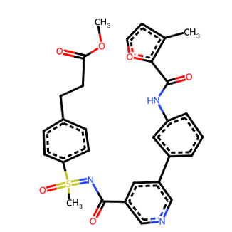 COC(=O)CCc1ccc(S(C)(=O)=NC(=O)c2cncc(-c3cccc(NC(=O)c4occc4C)c3)c2)cc1